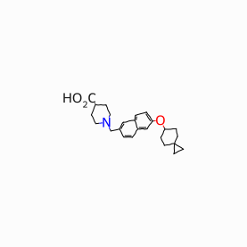 O=C(O)C1CCN(Cc2ccc3cc(OC4CCC5(CC4)CC5)ccc3c2)CC1